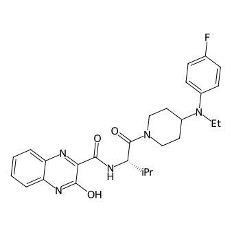 CCN(c1ccc(F)cc1)C1CCN(C(=O)[C@@H](NC(=O)c2nc3ccccc3nc2O)C(C)C)CC1